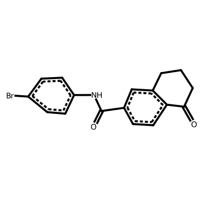 O=C(Nc1ccc(Br)cc1)c1ccc2c(c1)CCCC2=O